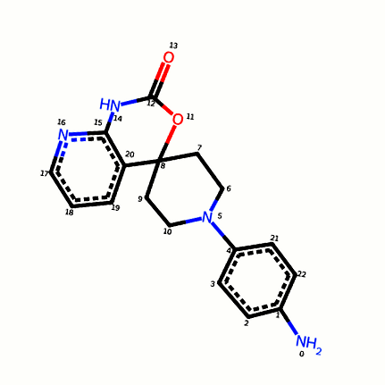 Nc1ccc(N2CCC3(CC2)OC(=O)Nc2ncccc23)cc1